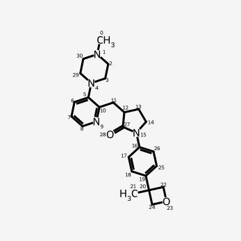 CN1CCN(c2cccnc2CC2CCN(c3ccc(C4(C)COC4)cc3)C2=O)CC1